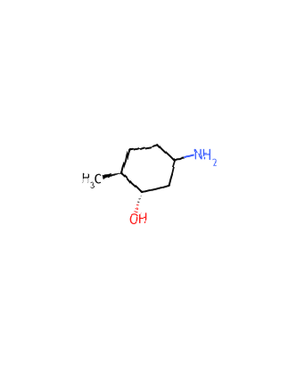 C[C@H]1CCC(N)C[C@@H]1O